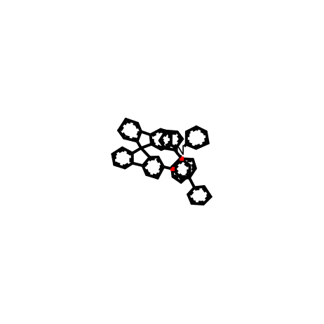 c1ccc(-c2ccc(-c3ccccc3)c(-c3ccc4c(c3)C3(c5ccccc5-4)c4ccccc4-c4ccc(N(c5ccccc5)c5ccccc5)cc43)c2)cc1